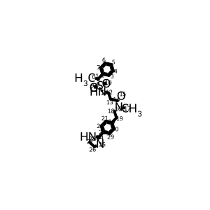 CC(c1ccccc1)S(=O)(=O)NCCC(=O)N(C)CCc1ccc(C2=NCCN2)cc1